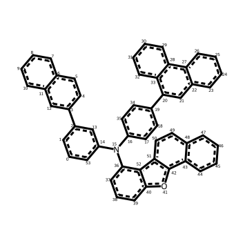 c1cc(-c2ccc3ccccc3c2)cc(N(c2ccc(-c3cc4ccccc4c4ccccc34)cc2)c2cccc3oc4c5ccccc5ccc4c23)c1